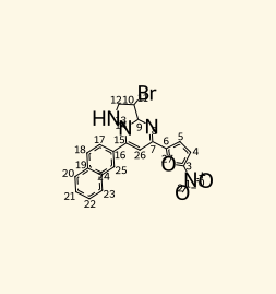 O=[N+]([O-])c1ccc(C2=NC3C(Br)CNN3C(c3ccc4ccccc4c3)=C2)o1